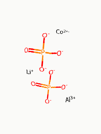 O=P([O-])([O-])[O-].O=P([O-])([O-])[O-].[Al+3].[Co+2].[Li+]